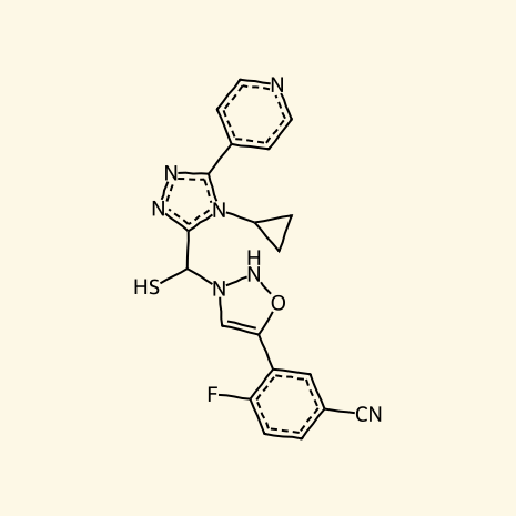 N#Cc1ccc(F)c(C2=CN(C(S)c3nnc(-c4ccncc4)n3C3CC3)NO2)c1